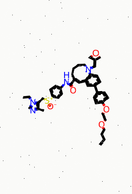 CCCCOCCOc1ccc(-c2ccc3c(c2)/C=C(/C(=O)Nc2ccc([S+]([O-])Cc4c(C)ncn4CC)cc2)CCCCN3CC2COC2)cc1